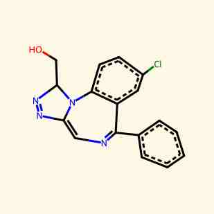 OCC1N=NC2=CN=C(c3ccccc3)c3cc(Cl)ccc3N21